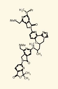 CNCc1nc(N(C)C(C)C)cc2c1CN(c1ccc3c(n1)-c1nncn1CC(CC(C)N(C)c1cc4c(c(CNC)n1)CN(c1ccc5c(n1)C(C)(C)OC5=O)C4=O)O3)C2=O